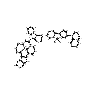 C=c1/c(=C\C(=C/C)c2ccc3c(c2)C(C)(C)c2cc(-c4cccc5ccccc45)ccc2-3)c2ccccc2n1-c1cc2cccc3c4c5ccccc5sc4c4cccc1c4c23